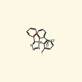 O=[N+]([O-])c1ccccc1[N+]1(c2ccccc2I)N=NN=C1c1ccccc1